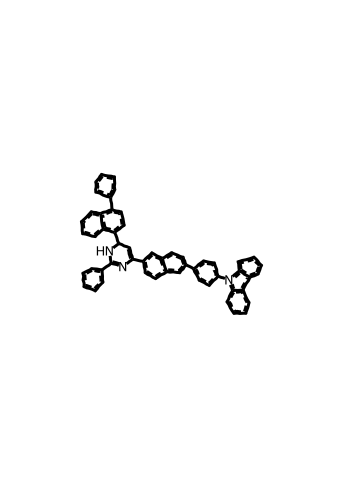 C1=C(c2ccc3cc(-c4ccc(-n5c6ccccc6c6ccccc65)cc4)ccc3c2)N=C(c2ccccc2)NC1c1ccc(-c2ccccc2)c2ccccc12